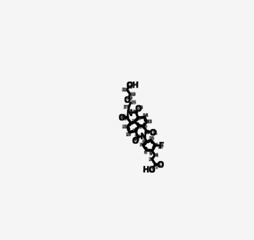 O=C(O)CCc1ccc(N2C(=O)c3ccc4c5c(ccc(c35)C2=O)C(=O)N(CCOCCO)C4=O)cc1F